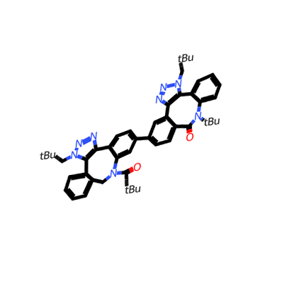 CC(C)(C)Cn1nnc2c1-c1ccccc1CN(C(=O)C(C)(C)C)c1cc(-c3ccc4c(c3)-c3nnn(CC(C)(C)C)c3-c3ccccc3N(C(C)(C)C)C4=O)ccc1-2